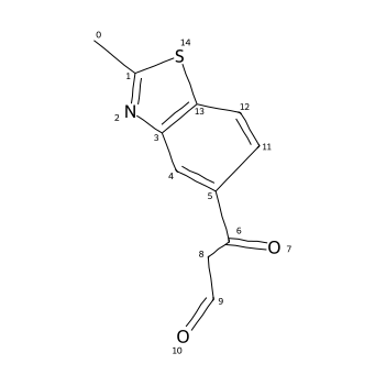 Cc1nc2cc(C(=O)CC=O)ccc2s1